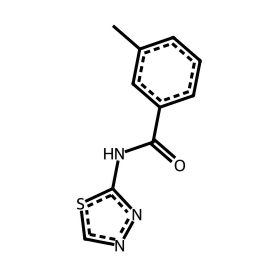 Cc1cccc(C(=O)Nc2nncs2)c1